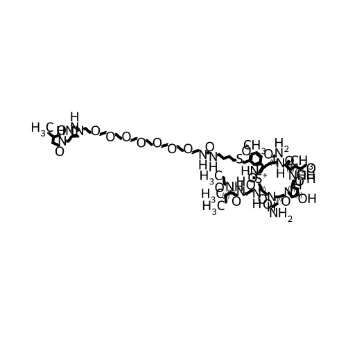 CCC(=O)N[C@H](C(=O)NCC(=O)N[C@H]1C[S+]([O-])c2[nH]c3c(CSCCCCNC(=O)NCCOCCOCCOCCOCCOCCOCCOCCN4C=C(CN5C(=O)CC(CC)C5=O)NN4)c(OC)ccc3c2C[C@@H](C(N)=O)NC(=O)[C@H]([C@@H](C)[C@@H](O)CO)NC(=O)[C@@H]2C[C@@H](O)CN2C(=O)[C@H](CC(N)=O)NC1=O)[C@@H](C)CC